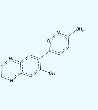 Bc1ccc(-c2cc3nccnc3cc2O)nn1